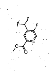 COC(=O)c1cc(C(F)F)c(F)cn1